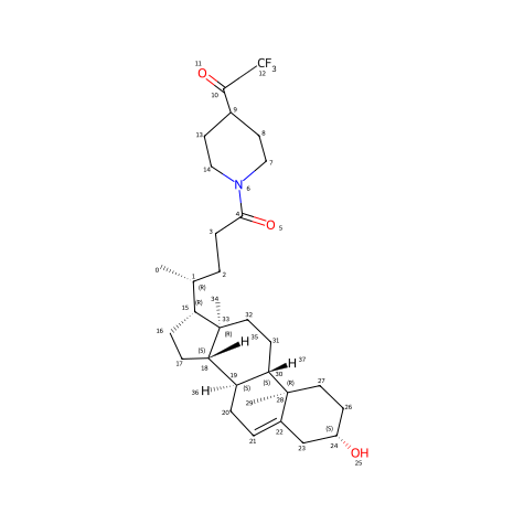 C[C@H](CCC(=O)N1CCC(C(=O)C(F)(F)F)CC1)[C@H]1CC[C@H]2[C@@H]3CC=C4C[C@@H](O)CC[C@]4(C)[C@H]3CC[C@]12C